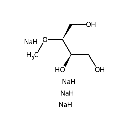 CO[C@@H](CO)[C@H](O)CO.[NaH].[NaH].[NaH].[NaH]